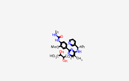 CCC[C@H](Nc1nc(-c2ccc(NC(=O)NCC)c(OC)c2)ncc1C)c1cccnc1.O=C(O)C(O)C(O)C(=O)O